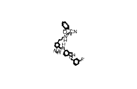 N#CN=C(NCC=Cc1ccc2ncnc(Nc3ccc4c(cnn4Cc4cccc(F)c4)c3)c2c1)Oc1ccccc1